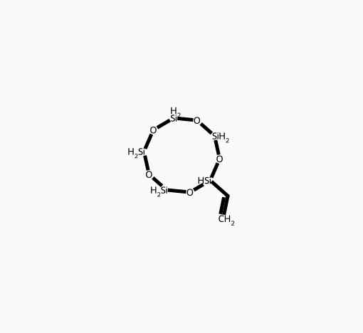 C=C[SiH]1O[SiH2]O[SiH2]O[SiH2]O[SiH2]O1